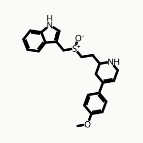 COc1ccc(C2=CCNC(CC[S+]([O-])Cc3c[nH]c4ccccc34)C2)cc1